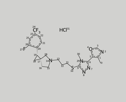 Cc1ncoc1-c1nnc(SCCCN2CC[C@@]3(C[C@@H]3c3ccc(C(F)(F)F)cc3F)C2)n1C.Cl